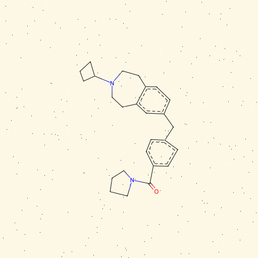 O=C(c1ccc(Cc2ccc3c(c2)CCN(C2CCC2)CC3)cc1)N1CCCC1